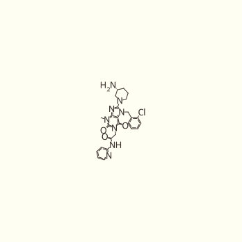 Cn1c(=O)n(CC(=O)Nc2ccccn2)c(=O)c2c1nc(N1CCC[C@@H](N)C1)n2Cc1ccccc1Cl